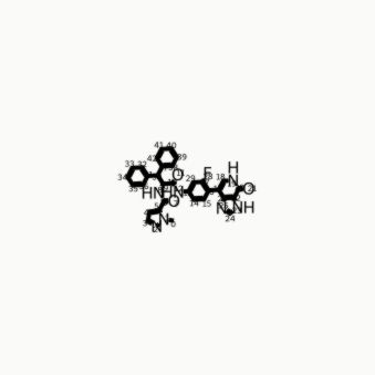 Cn1nccc1C(=O)NC(C(=O)Nc1ccc(-c2c[nH]c(=O)c3[nH]cnc23)c(F)c1)C(c1ccccc1)c1ccccc1